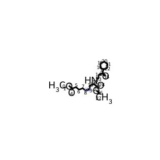 CCOC(=O)CCC/C=C\CC(NCCC(=O)C1CCCCC1)C(=O)OCC